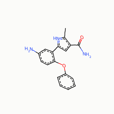 Cc1[nH]c(-c2cc(N)ccc2Oc2ccccc2)cc1C(N)=O